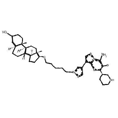 C[C@]12CCC(O)C[C@@H]1CC[C@@H]1[C@@H]2CC[C@]2(C)[C@@H](OCCCCCn3cc(-c4cnn5c(N)c(Br)c([C@@H]6CCCNC6)nc45)cn3)CC[C@@H]12